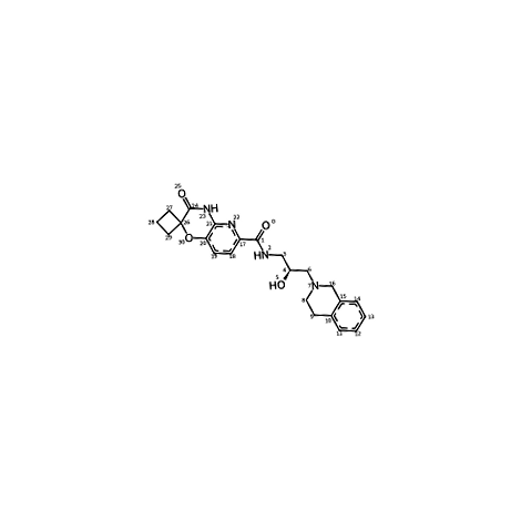 O=C(NC[C@H](O)CN1CCc2ccccc2C1)c1ccc2c(n1)NC(=O)C1(CCC1)O2